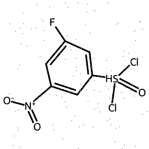 O=[N+]([O-])c1cc(F)cc([SH](=O)(Cl)Cl)c1